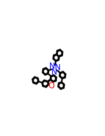 c1ccc(-c2cccc(-c3nc(-c4ccc5ccccc5c4)nc(-c4ccccc4-c4cccc5oc6ccc(-c7ccccc7)cc6c45)n3)c2)cc1